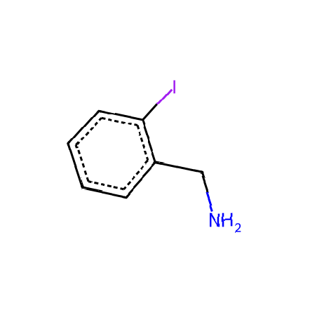 NCc1ccccc1I